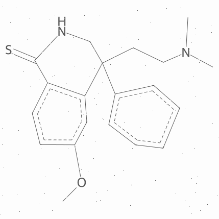 COc1ccc2c(c1)C(CCN(C)C)(c1ccccc1)CNC2=S